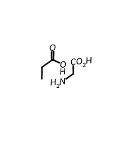 CCC(=O)O.NCC(=O)O